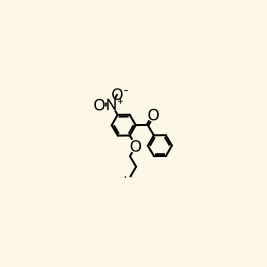 [CH2]CCOc1ccc([N+](=O)[O-])cc1C(=O)c1ccccc1